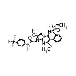 C=CS(=O)(=O)Nc1ccccc1-c1c(CC)nc2n(CC(=O)Nc3ccc(C(F)(F)F)cc3)c(C)cn2c1=O